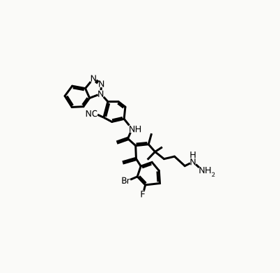 C=C(Nc1ccc(-n2nnc3ccccc32)c(C#N)c1)/C(C(=C)c1cccc(F)c1Br)=C(\C)C(C)(C)CCCNN